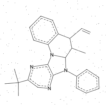 C=CC1c2ccccc2N2c3nc(C(C)(C)C)cnc3N(c3ccccc3)C2C1C